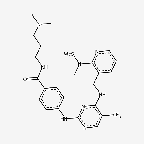 CSN(C)c1ncccc1CNc1nc(Nc2ccc(C(=O)NCCCN(C)C)cc2)ncc1C(F)(F)F